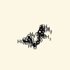 COc1cc2c(c(OC)c1OC)-c1ccc(OC)c(=O)cc1C(N(C)C(=O)OCOC(=O)C1CCC(CN3C(=O)CC(SC[C@H](NC(=O)CC[C@H](N)C(=O)O)C(=O)NCC(=O)O)C3=O)CC1)CC2